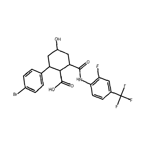 O=C(Nc1ccc(C(F)(F)F)cc1F)C1CC(O)CC(c2ccc(Br)cc2)C1C(=O)O